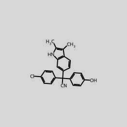 Cc1[nH]c2cc(C(C#N)(c3ccc(O)cc3)c3ccc(Cl)cc3)ccc2c1C